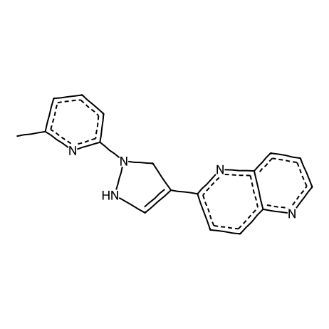 Cc1cccc(N2CC(c3ccc4ncccc4n3)=CN2)n1